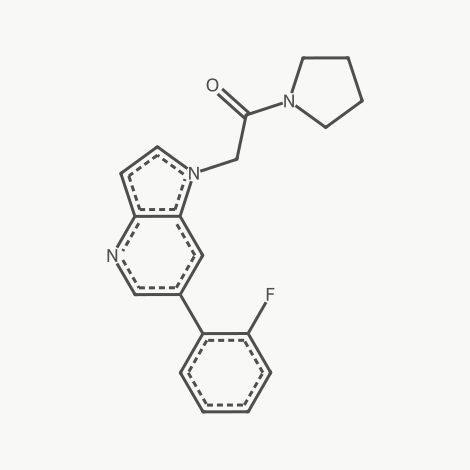 O=C(Cn1ccc2ncc(-c3ccccc3F)cc21)N1CCCC1